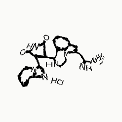 Cl.N=C(N)c1cc2cccc3c2n1CCNC3C1=C(c2cnc3ccccn23)C(=O)NC1=O